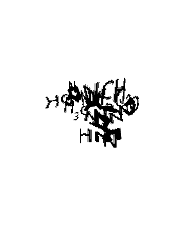 Cc1nn(-c2cncc(O)c2)c(C)c1-c1cc(N2CCOC[C@H]2C)nc2c(-c3ccn[nH]3)cnn12